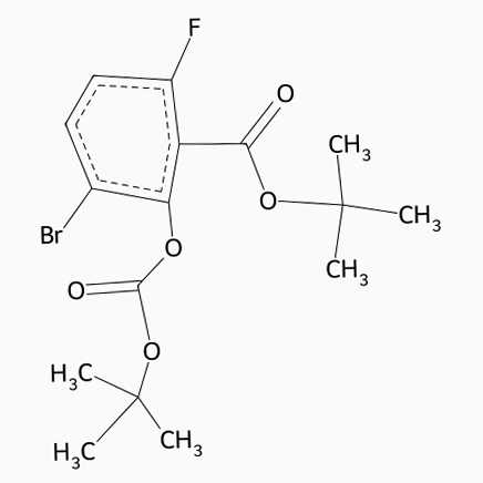 CC(C)(C)OC(=O)Oc1c(Br)ccc(F)c1C(=O)OC(C)(C)C